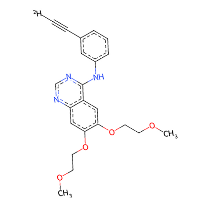 [2H]C#Cc1cccc(Nc2ncnc3cc(OCCOC)c(OCCOC)cc23)c1